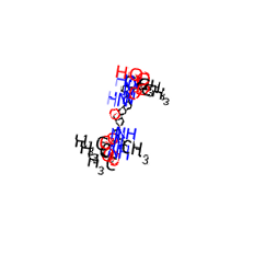 COC(=O)N[C@H](C(=O)N1CC(C)CC1c1ncc(-c2ccc3c(c2)COc2cc4c(ccc5nc(C6CC[C@H](C)N6C(=O)[C@@H](NC(=O)O)[C@@H](C)OC)[nH]c54)cc2-3)[nH]1)[C@@H](C)OC